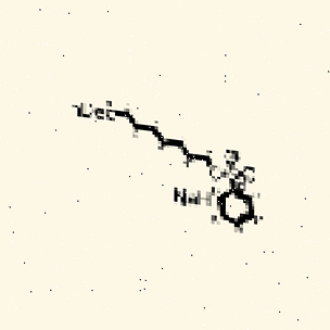 CCCCCCCCCCCCCCCCCOS(=O)(=O)c1ccccc1.[NaH]